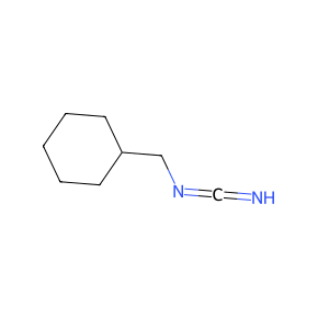 N=C=NCC1CCCCC1